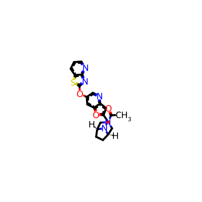 CC(=O)N1C[C@H]2CC[C@@H](C1)N2Cc1cc2ncc(Oc3nc4ncccc4s3)cc2o1